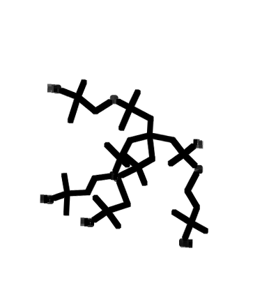 CCC(C)(CC(CC(C)(C)OCCC(C)(C)O)(CC(C)(C)OCC(C)(C)O)CC(C)(C)OCC(C)(C)O)OCCC(C)(C)O